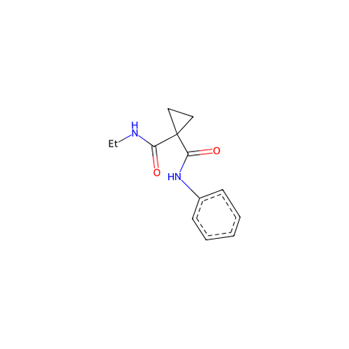 CCNC(=O)C1(C(=O)Nc2ccccc2)CC1